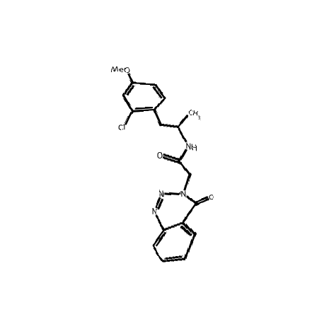 COc1ccc(CC(C)NC(=O)Cn2nnc3ccccc3c2=O)c(Cl)c1